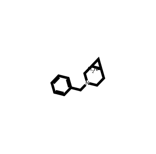 NC12CCN(Cc3ccccc3)CC1C2